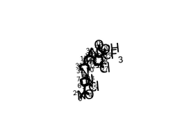 CN(C)C(=O)c1ccc(N2CCC(CC3CN(C(=O)C(O)(c4cc(F)cc(Cl)c4)C(F)(F)F)C3)CC2)nc1Cl